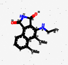 COc1cccc2c3c(c(NCC(C)C)c(OC)c12)C(=O)NC3=O